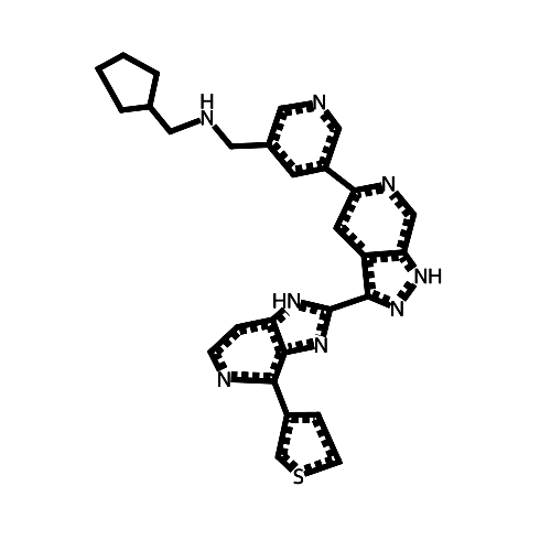 c1cc2[nH]c(-c3n[nH]c4cnc(-c5cncc(CNCC6CCCC6)c5)cc34)nc2c(-c2ccsc2)n1